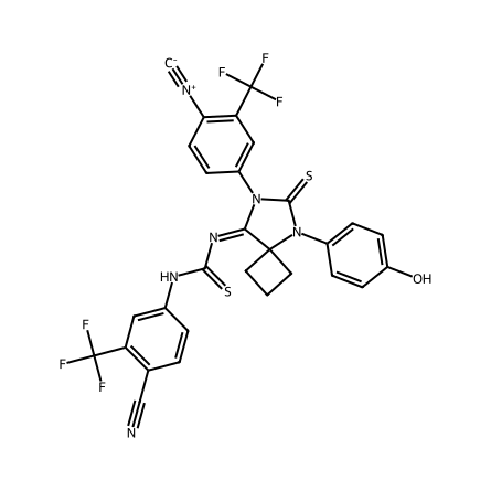 [C-]#[N+]c1ccc(N2C(=S)N(c3ccc(O)cc3)C3(CCC3)C2=NC(=S)Nc2ccc(C#N)c(C(F)(F)F)c2)cc1C(F)(F)F